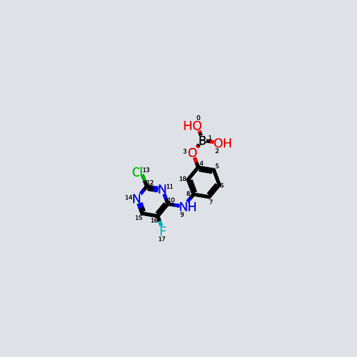 OB(O)Oc1cccc(Nc2nc(Cl)ncc2F)c1